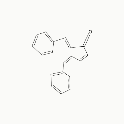 O=C1C=CC(=C\c2ccccc2)/C1=C\c1ccccc1